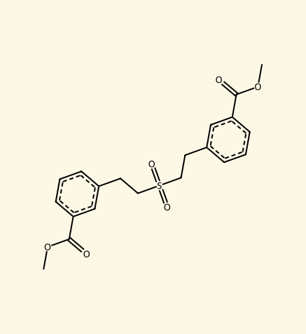 COC(=O)c1cccc(CCS(=O)(=O)CCc2cccc(C(=O)OC)c2)c1